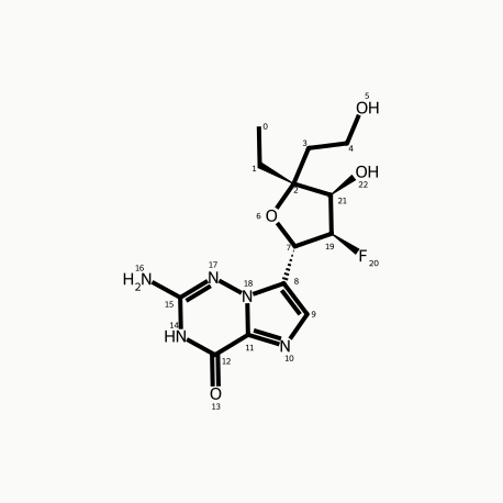 CC[C@]1(CCO)O[C@@H](c2cnc3c(=O)[nH]c(N)nn23)[C@H](F)[C@@H]1O